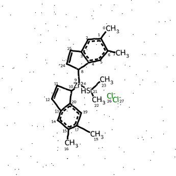 Cc1cc2c(cc1C)[CH]([Zr+2]([CH]1C=Cc3cc(C)c(C)cc31)[SiH](C)C)C=C2.[Cl-].[Cl-]